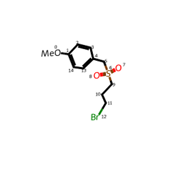 COc1ccc(CS(=O)(=O)CCCBr)cc1